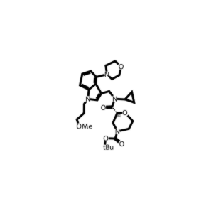 COCCCn1cc(CN(C(=O)[C@H]2CN(C(=O)OC(C)(C)C)CCO2)C2CC2)c2c(N3CCOCC3)cccc21